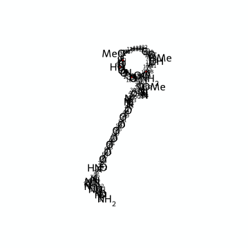 CO[C@H]1C[C@@H]2CC[C@@H](C)[C@@](O)(O2)C(=O)C(=O)N2CCCC[C@H]2C(=O)O[C@H]([C@H](N)C[C@@H]2CC[C@H](n3nncc3-c3cccc(-c4cn(CCOCCOCCOCCOCCOCCOCCOCCOCCC(=O)NCCCCn5nc(-c6ccc7oc(N)nc7c6)c6c(N)ncnc65)nn4)c3)[C@H](OC)C2)CC(=O)[C@H](C)/C=C(\C)[C@@H](O)[C@@H](OC)C(=O)[C@H](C)C[C@H](C)/C=C/C=C/C=C/1C